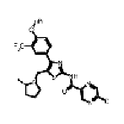 CCCOc1ccc(-c2nc(NC(=O)c3cnc(Cl)cn3)sc2CN2CCC[C@H]2C)cc1C(F)(F)F